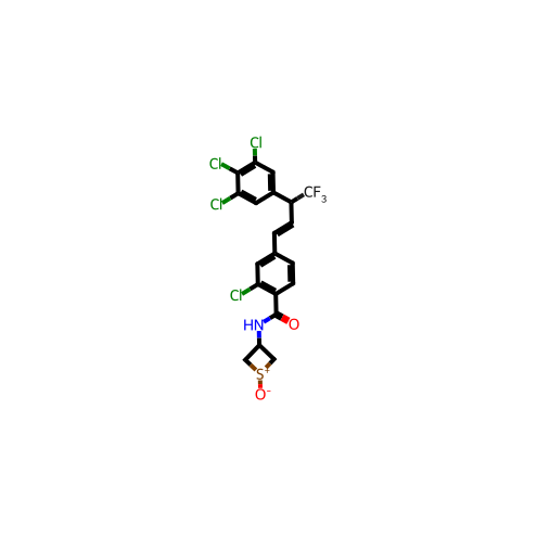 O=C(NC1C[S+]([O-])C1)c1ccc(/C=C/C(c2cc(Cl)c(Cl)c(Cl)c2)C(F)(F)F)cc1Cl